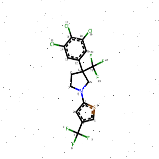 FC(F)(F)c1csc(N2CCC(c3cc(Cl)c(Cl)c(Cl)c3)(C(F)(F)F)C2)c1